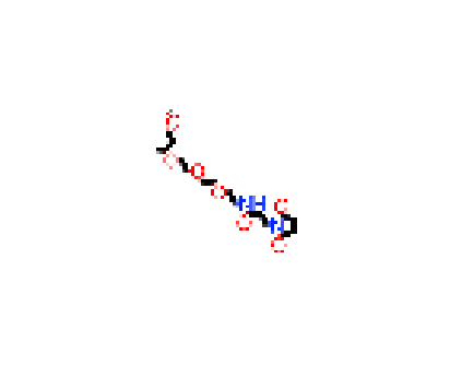 COCCC(C)OCCOCCOCCNC(=O)CCN1C(=O)C=CC1=O